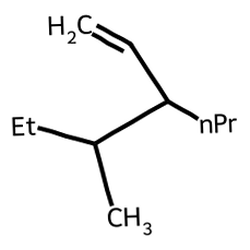 C=CC(CCC)C(C)CC